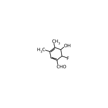 CC1=C(C)C(O)C(F)C(C=O)=C1